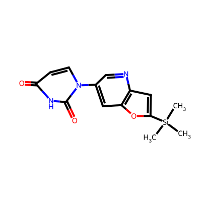 C[Si](C)(C)c1cc2ncc(-n3ccc(=O)[nH]c3=O)cc2o1